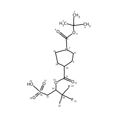 CC(C)(C)OC(=O)N1CCC(C(=O)OC(CS(=O)(=O)O)C(F)(F)F)CC1